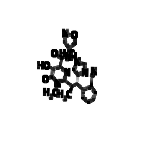 C[C@@H](c1nc(C(=O)Nc2cnoc2)c(O)c(=O)n1C)[C@H](c1cn(C)cn1)c1ccccc1C#N